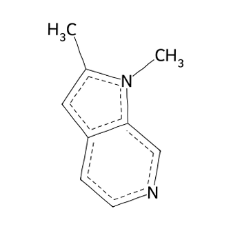 Cc1cc2ccncc2n1C